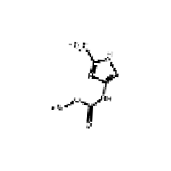 CCCCOC(=O)Nc1c[nH]c(C(=O)O)n1